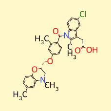 Cc1ccc2c(c1)N(C)C[C@@H](COc1ccc(C(=O)n3c(C)c(CC(=O)O)c4cc(Cl)ccc43)c(C)c1)O2